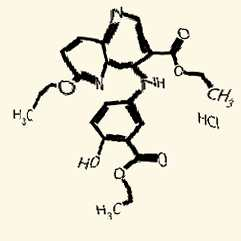 CCOC(=O)c1cc(Nc2c(C(=O)OCC)cnc3ccc(OCC)nc23)ccc1O.Cl